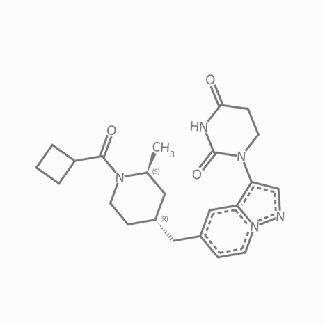 C[C@H]1C[C@H](Cc2ccn3ncc(N4CCC(=O)NC4=O)c3c2)CCN1C(=O)C1CCC1